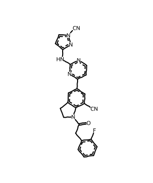 N#Cc1cc(-c2ccnc(Nc3ccn(C#N)n3)n2)cc2c1N(C(=O)Cc1ccccc1F)CC2